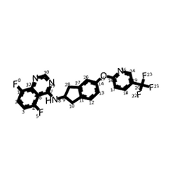 Fc1ccc(F)c2c(NC3Cc4ccc(Oc5ccc(C(F)(F)F)cn5)cc4C3)ncnc12